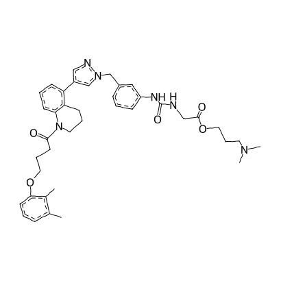 Cc1cccc(OCCCC(=O)N2CCCc3c(-c4cnn(Cc5cccc(NC(=O)NCC(=O)OCCCN(C)C)c5)c4)cccc32)c1C